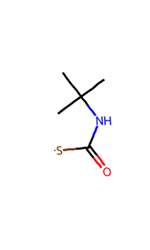 CC(C)(C)NC(=O)[S]